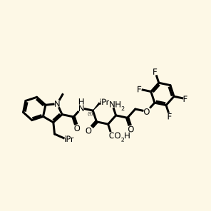 CC(C)Cc1c(C(=O)N[C@H](C(=O)C(C(=O)O)C(N)C(=O)COc2c(F)c(F)cc(F)c2F)C(C)C)n(C)c2ccccc12